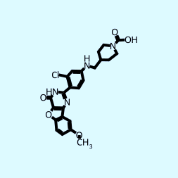 COc1ccc2oc3c(=O)[nH]c(-c4ccc(NCC5CCN(C(=O)O)CC5)cc4Cl)nc3c2c1